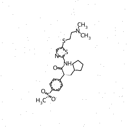 CN(C)CCSc1cnc(NC(=O)[C@H](CC2CCCC2)c2ccc(S(C)(=O)=O)cc2)s1